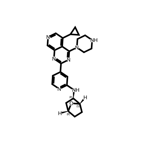 c1cc(-c2nc(N3CCNCC3)c3c(C4CC4)cncc3n2)cc(N[C@@H]2C[C@H]3CC[C@@H]2O3)n1